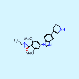 COc1cc(-n2cnc3cc(C4=CNCCC4)ccc32)cc(OC)c1C(=O)NCC(F)(F)F